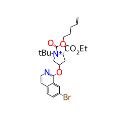 C=CCCCOC(=O)[N+]1(C(C)(C)C)C[C@H](Oc2nccc3ccc(Br)cc23)C[C@H]1C(=O)OCC